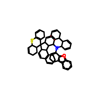 C1=CCC(C2C=CC=CC2N(C2=CCCc3c2oc2ccccc32)C2CC=CC3C2C2C4=C(C=CCC4)C=CC2C32C3=C(C=CCC3)SC3C=CCCC32)C=C1